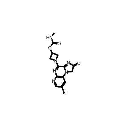 CNC(=O)OC1CN(C2=Nc3ncc(Br)cc3N3CC(=O)N=C23)C1